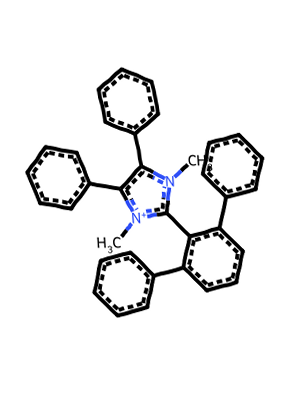 Cn1c(-c2ccccc2)c(-c2ccccc2)[n+](C)c1-c1c(-c2ccccc2)cccc1-c1ccccc1